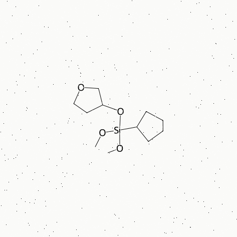 CO[Si](OC)(OC1CCOC1)C1CCCC1